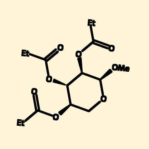 CCC(=O)O[C@@H]1[C@@H](OC(=O)CC)[C@@H](OC)OC[C@H]1OC(=O)CC